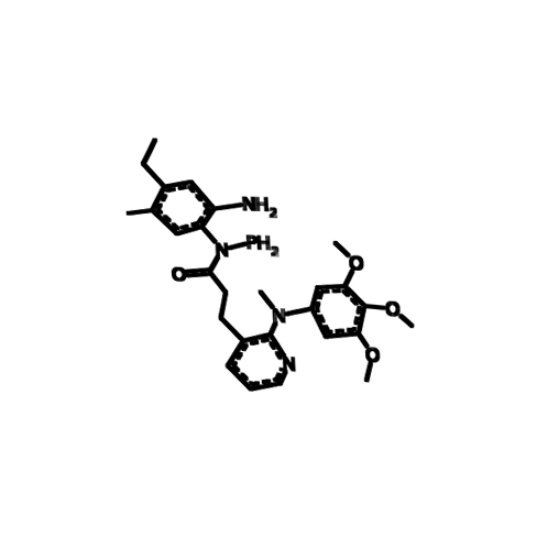 CCc1cc(N)c(N(P)C(=O)CCc2cccnc2N(C)c2cc(OC)c(OC)c(OC)c2)cc1C